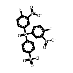 O=[N+]([O-])c1cc(P(=O)(c2ccc(S(=O)(=O)Cl)cc2)c2ccc(F)c([N+](=O)[O-])c2)ccc1F